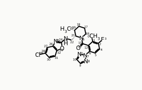 Cc1c(F)ccc(-n2nccn2)c1C(=O)N1CCC[C@@H](C)[C@H]1CNc1nc2cc(Cl)ccc2o1